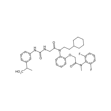 CC(C(=O)O)c1cccc(NC(=O)NCC(=O)N(CCC2CCCCC2)c2ccccc2OCC(=O)N(C)c2c(F)cccc2F)c1